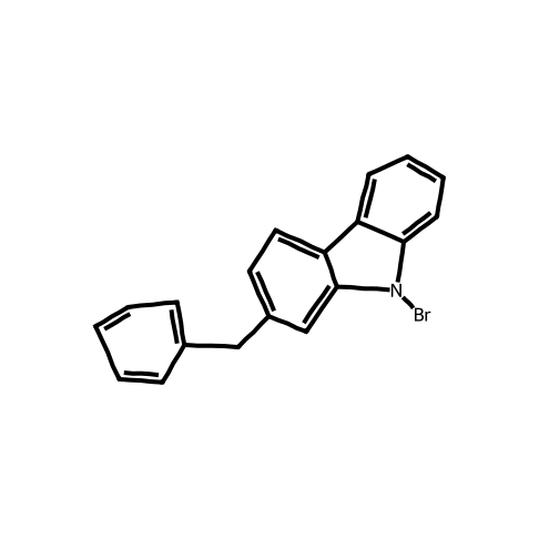 Brn1c2ccccc2c2ccc(Cc3ccccc3)cc21